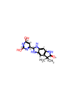 CC1(C)C(=O)Nc2cc3c(cc21)NC(c1cc(O)nc(O)n1)N3